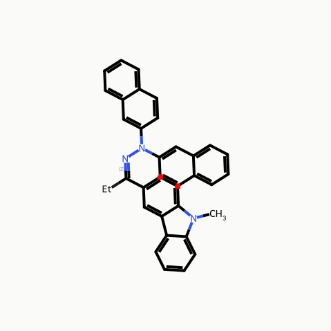 CC/C(=N/N(c1ccc2ccccc2c1)c1ccc2ccccc2c1)c1ccc2c(c1)c1ccccc1n2C